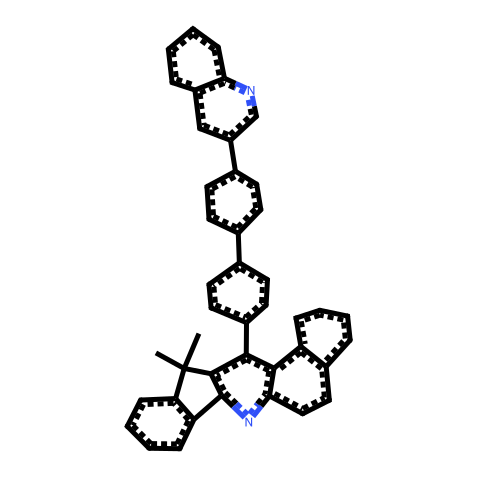 CC1(C)c2ccccc2-c2nc3ccc4ccccc4c3c(-c3ccc(-c4ccc(-c5cnc6ccccc6c5)cc4)cc3)c21